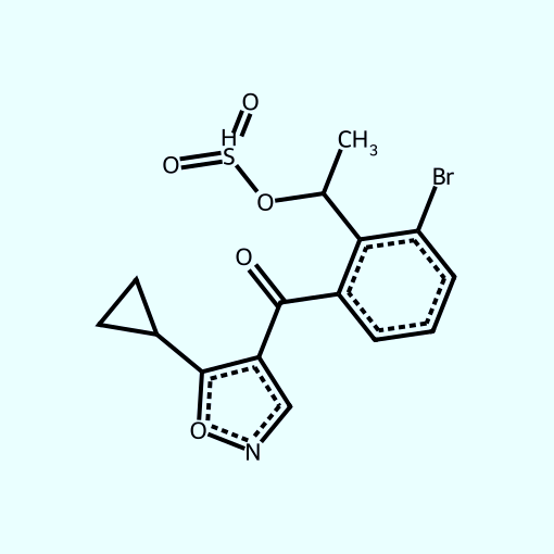 CC(O[SH](=O)=O)c1c(Br)cccc1C(=O)c1cnoc1C1CC1